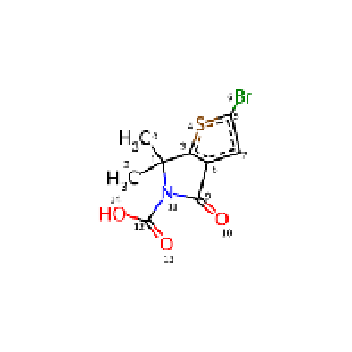 CC1(C)c2sc(Br)cc2C(=O)N1C(=O)O